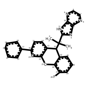 CC(C)(c1nc2nccnc2[nH]1)C1c2ccc(-c3ccccc3)nc2Oc2c(F)cccc21